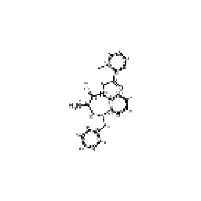 Cc1ccccc1C(=O)CN1C(=O)C(N)CN(Cc2ccccc2)c2ccccc21